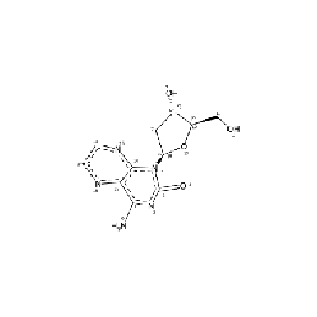 Nc1nc(=O)n([C@H]2C[C@H](O)[C@@H](CO)O2)c2nccnc12